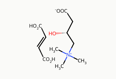 C[N+](C)(C)C[C@H](O)CC(=O)[O-].O=C(O)C=CC(=O)O